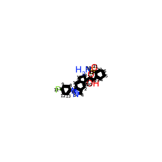 C[C@]12Cc3cnn(-c4ccc(F)cc4)c3C=C1CC[C@@]2(O)C=Cc1ccccc1S(N)(=O)=O